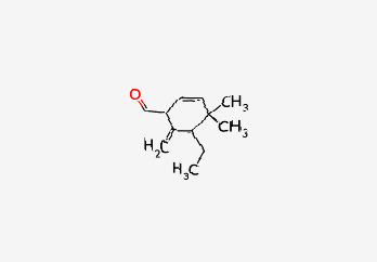 C=C1C(C=O)C=CC(C)(C)C1CC